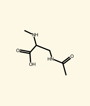 CNC(CNC(C)=O)C(=O)O